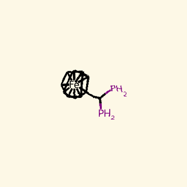 PC(P)[C]12[CH]3[CH]4[CH]5[CH]1[Fe]45321678[CH]2[CH]1[CH]6[CH]7[CH]28